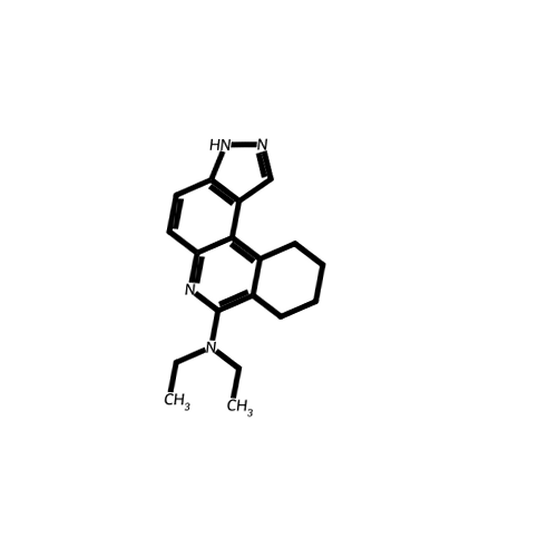 CCN(CC)c1nc2ccc3[nH]ncc3c2c2c1CCCC2